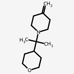 C=C1CCN(C(C)(C)C2CCOCC2)CC1